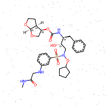 CNC(=O)CNc1cccc(S(=O)(=O)N(C[C@H](O)[C@H](Cc2ccccc2)NC(=O)O[C@H]2CO[C@H]3OCC[C@H]32)OC2CCCC2)c1